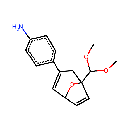 COC(OC)C12C=CC(C=C(c3ccc(N)cc3)C1)O2